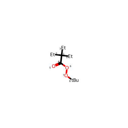 CCC(CC)(CC)C(=O)OOC(C)(C)C